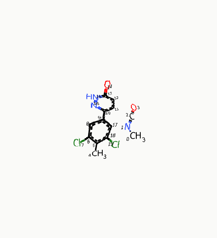 CN=C=O.Cc1c(Cl)cc(-c2ccc(=O)[nH]n2)cc1Cl